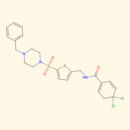 O=C(NCc1ccc(S(=O)(=O)N2CCN(Cc3ccccc3)CC2)s1)C1=CCC(Cl)(Cl)C=C1